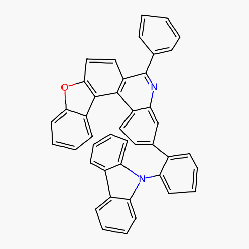 c1ccc(-c2nc3cc(-c4ccccc4-n4c5ccccc5c5ccccc54)ccc3c3c2ccc2oc4ccccc4c23)cc1